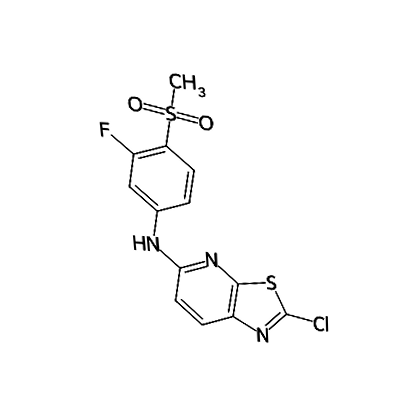 CS(=O)(=O)c1ccc(Nc2ccc3nc(Cl)sc3n2)cc1F